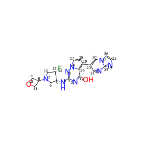 Oc1nc(N[C@@H]2CN(C3COC3)C[C@@H]2F)nn2ccc(-c3cnc4nccn4c3)c12